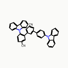 N#Cc1cc(-c2ccc(-n3c4ccccc4c4ccccc43)cc2)cc(-c2cc(C#N)ccc2-n2c3ccccc3c3ccccc32)c1